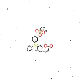 Cc1cc2ccc(=O)oc2cc1[S+](c1ccccc1)c1ccccc1.O=S(=O)([O-])C(F)(F)F